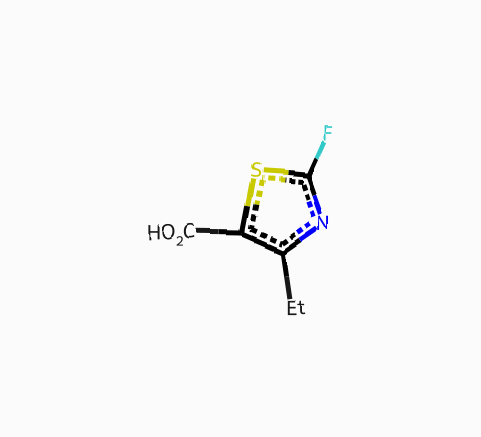 CCc1nc(F)sc1C(=O)O